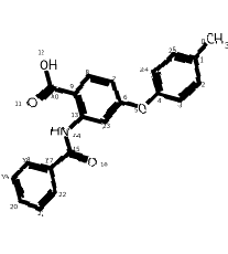 Cc1ccc(Oc2ccc(C(=O)O)c(NC(=O)c3ccccc3)c2)cc1